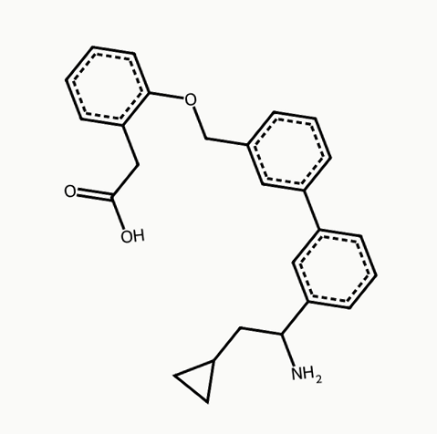 NC(CC1CC1)c1cccc(-c2cccc(COc3ccccc3CC(=O)O)c2)c1